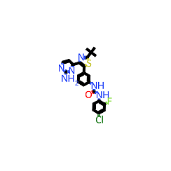 CC(C)(C)c1nc(-c2ccnc(N)n2)c(-c2cccc(NC(=O)Nc3ccc(Cl)cc3F)c2)s1